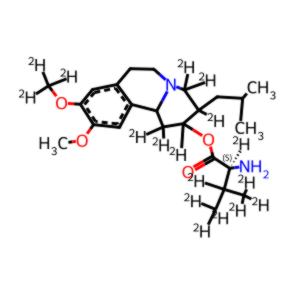 [2H]C([2H])([2H])Oc1cc2c(cc1OC)C1N(CC2)C([2H])([2H])C([2H])(CC(C)C)C([2H])(OC(=O)[C@@]([2H])(N)C([2H])(C([2H])([2H])[2H])C([2H])([2H])[2H])C1([2H])[2H]